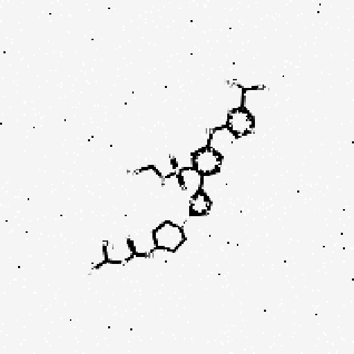 CCNS(=O)(=O)c1cc(Nc2cncc(C(C)C)n2)ccc1-c1cnc([C@H]2CC[C@H](NC(=O)OC(C)C)CC2)s1